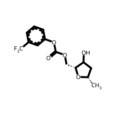 C[C@H]1CC(O)[C@@H](COC(=O)Oc2cccc(C(F)(F)F)c2)O1